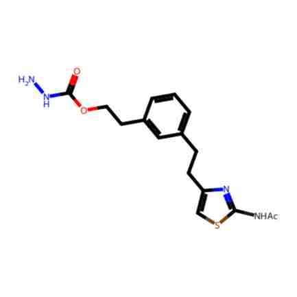 CC(=O)Nc1nc(CCc2cccc(CCOC(=O)NN)c2)cs1